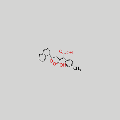 Cc1ccc(/C(C(=O)O)=C(/CC(=O)c2cccc3ccccc23)C(=O)O)cc1